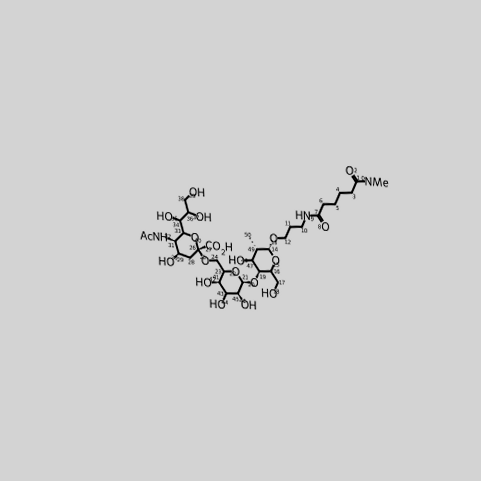 CNC(=O)CCCCC(=O)NCCCO[C@@H]1OC(CO)[C@@H](O[C@@H]2OC(CO[C@]3(C(=O)O)C[C@@H](O)[C@@H](NC(C)=O)C(C(O)C(O)CO)O3)[C@H](O)C(O)[C@@H]2O)C(O)[C@@H]1C